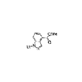 CCn1ncc2c(C(=O)OC)cccc21